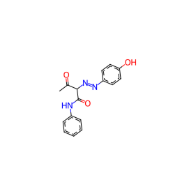 CC(=O)C(N=Nc1ccc(O)cc1)C(=O)Nc1ccccc1